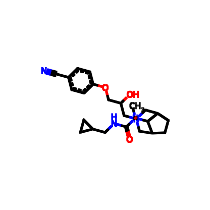 CN(C(=O)NCC1CC1)C1C2CCC1CN(CC(O)COc1ccc(C#N)cc1)C2